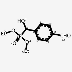 CCOP(=O)(OCC)C(O)c1ccc(C=O)cc1